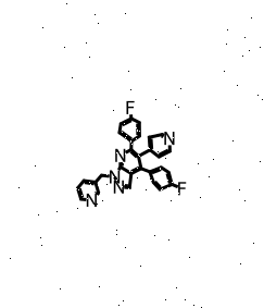 Fc1ccc(-c2nc3c(cnn3Cc3cccnc3)c(-c3ccc(F)cc3)c2-c2ccncc2)cc1